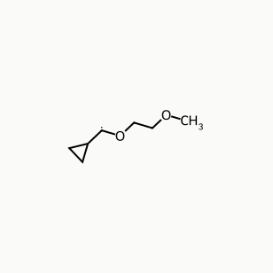 COCCO[CH]C1CC1